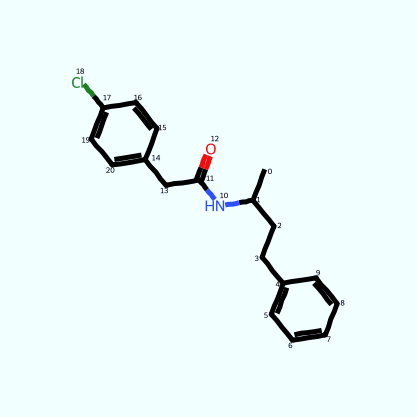 CC(CCc1ccccc1)NC(=O)Cc1ccc(Cl)cc1